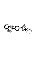 C[C@@H](Nc1ncccc1Br)C1CCN(C(=O)OC(C)(C)C)CC1